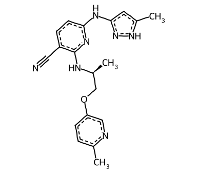 Cc1ccc(OC[C@H](C)Nc2nc(Nc3cc(C)[nH]n3)ccc2C#N)cn1